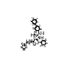 N=C(Nc1ccc(-c2ccccc2)cc1)N[C@H](CC(=O)NCCN1CCCC1)Cc1ccccc1